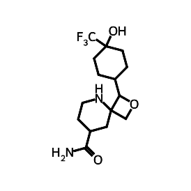 NC(=O)C1CCNC2(COC2C2CCC(O)(C(F)(F)F)CC2)C1